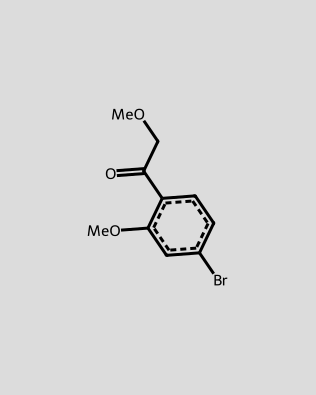 COCC(=O)c1ccc(Br)cc1OC